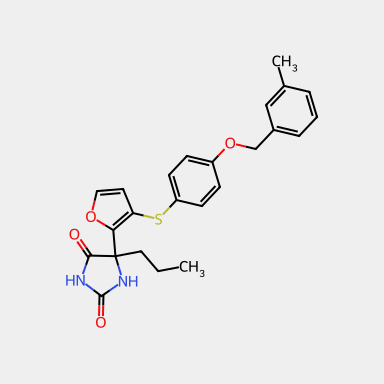 CCCC1(c2occc2Sc2ccc(OCc3cccc(C)c3)cc2)NC(=O)NC1=O